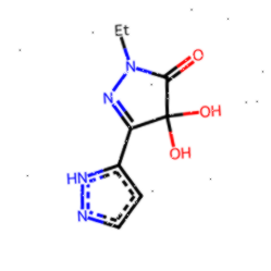 CCN1N=C(c2ccn[nH]2)C(O)(O)C1=O